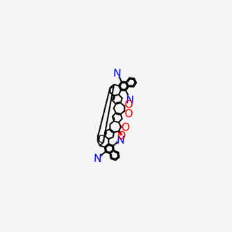 N#Cc1c2c(c(C#N)c3ccccc13)C1CC3=C4C=C1CC1=C2CC2C(=C1)CC1=CC5=C(CC1c1c2c(C#N)c2ccccc2c1C#N)C(=O)C(=O)C1CC(=C(C=C1C5)C4)C(=O)C3=O